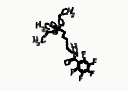 CCO[Si](CCCCNC(=O)c1c(F)c(F)c(F)c(F)c1F)(OC)OCC